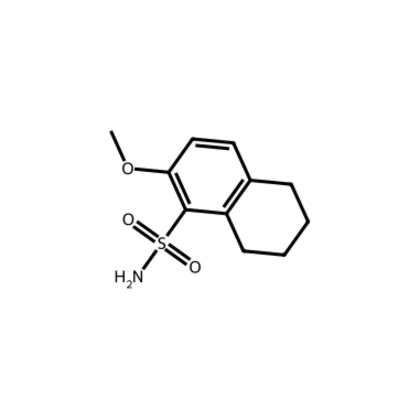 COc1ccc2c(c1S(N)(=O)=O)CCCC2